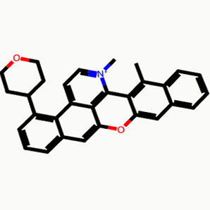 Cc1c2c(cc3ccccc13)Oc1cc3cccc(C4CCOCC4)c3c3cc[n+](C)c-2c13